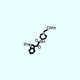 COCCN1CCC(NC(=O)C(=O)c2cn(C(C)C)c3ccccc23)CC1